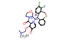 CCOC(=O)N(C)COc1c2n(ccc1=O)N([C@@H]1c3ccccc3SCc3c1ccc(F)c3F)[C@@H]1COCCN1C2=O